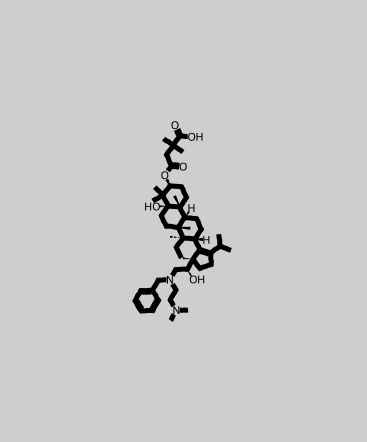 CC(C)C1=C2[C@H]3CC[C@@H]4[C@@]5(C)CC[C@H](OC(=O)CC(C)(C)C(=O)O)C(C)(C)[C@]5(O)CC[C@@]4(C)[C@]3(C)CC[C@@]2([C@H](O)CN(CCN(C)C)Cc2ccccc2)CC1